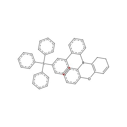 c1cc(S(c2ccccc2)(c2ccccc2)c2ccccc2)cc(-c2ccccc2B2C3=C(C=CCC3)Oc3ccccc32)c#1